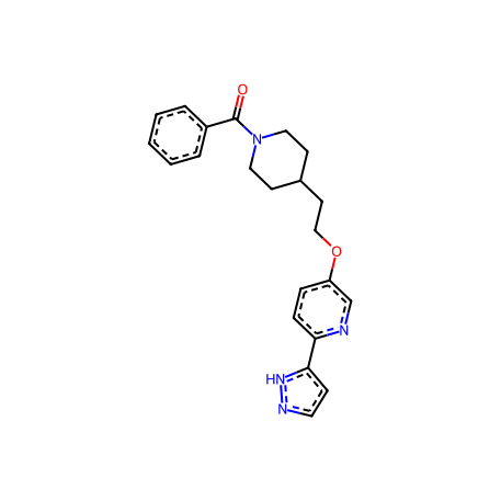 O=C(c1ccccc1)N1CCC(CCOc2ccc(-c3ccn[nH]3)nc2)CC1